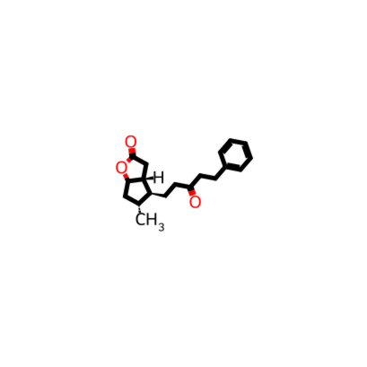 C[C@@H]1CC2OC(=O)C[C@@H]2[C@H]1CCC(=O)CCc1ccccc1